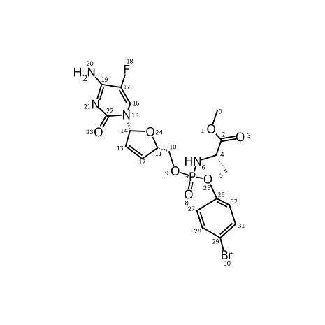 COC(=O)[C@H](C)NP(=O)(OC[C@@H]1C=C[C@H](n2cc(F)c(N)nc2=O)O1)Oc1ccc(Br)cc1